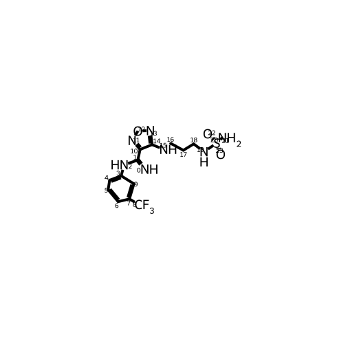 N=C(Nc1cccc(C(F)(F)F)c1)c1nonc1NCCCNS(N)(=O)=O